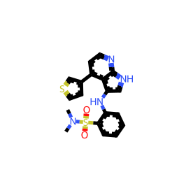 CN(C)S(=O)(=O)c1ccccc1Nc1c[nH]c2nccc(-c3ccsc3)c12